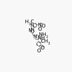 Cc1cc(N2CCOC2=O)cc(-n2cc(CN3C[C@@H](c4ccc5c(c4C)COC5=O)N[C@@H](N)C3)cn2)n1